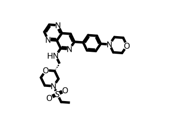 CCS(=O)(=O)N1CCO[C@H](CNc2nc(-c3ccc(N4CCOCC4)cc3)cc3nccnc23)C1